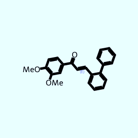 COc1ccc(C(=O)/C=C/c2ccccc2-c2ccccc2)cc1OC